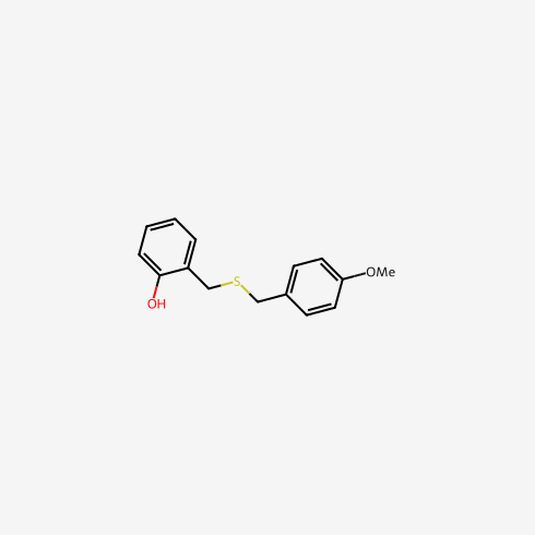 COc1ccc(CSCc2ccccc2O)cc1